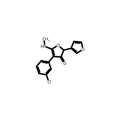 CNC1=C(c2cccc(Cl)c2)C(=O)C(c2ccoc2)O1